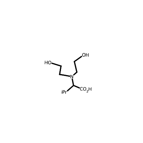 CC(C)C(C(=O)O)N(CCO)CCO